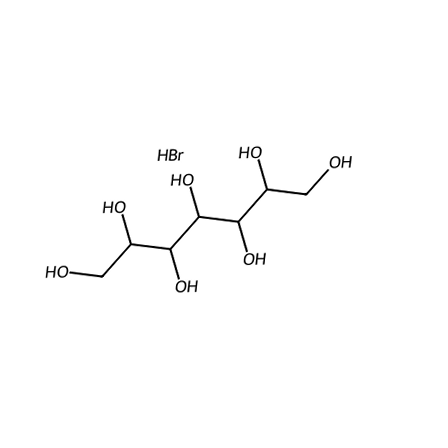 Br.OCC(O)C(O)C(O)C(O)C(O)CO